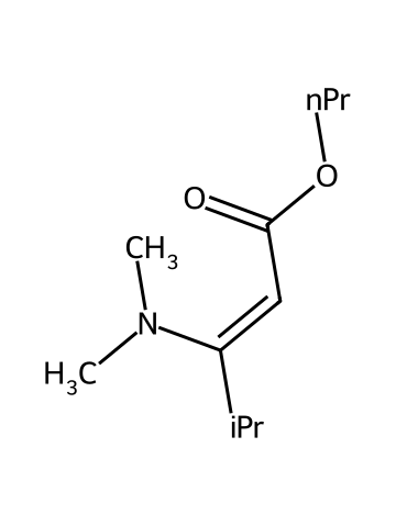 CCCOC(=O)C=C(C(C)C)N(C)C